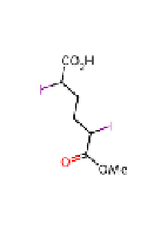 COC(=O)C(I)CCC(I)C(=O)O